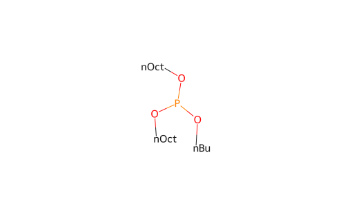 CCCCCCCCOP(OCCCC)OCCCCCCCC